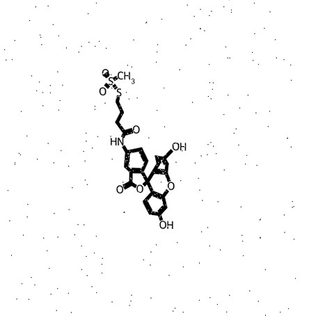 CS(=O)(=O)SCCCC(=O)Nc1ccc2c(c1)C(=O)OC21c2ccc(O)cc2Oc2cc(O)ccc21